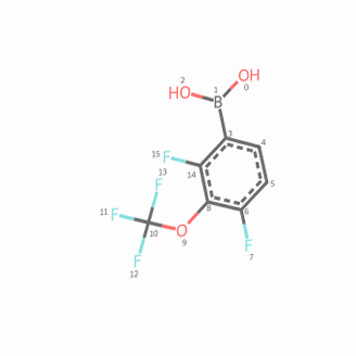 OB(O)c1ccc(F)c(OC(F)(F)F)c1F